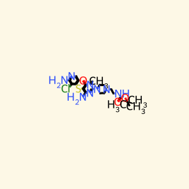 Cn1c(N2CCN(CCNC(=O)OC(C)(C)C)CC2)nc(N)c(Sc2ccnc(N)c2Cl)c1=O